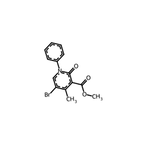 COC(=O)c1c(C)c(Br)cn(-c2ccccc2)c1=O